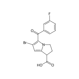 O=C(c1cccc(F)c1)c1c(Br)cc2n1CCC2C(=O)O